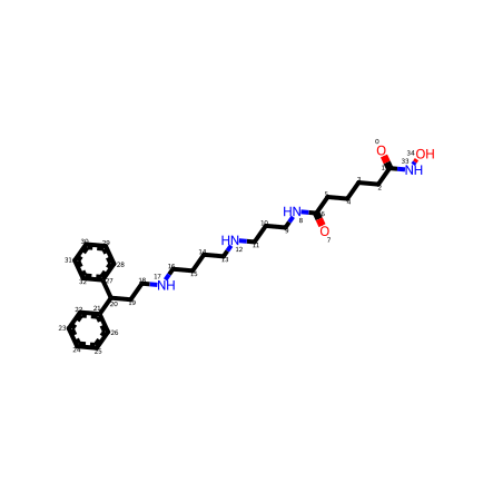 O=C(CCCCC(=O)NCCCNCCCCNCCC(c1ccccc1)c1ccccc1)NO